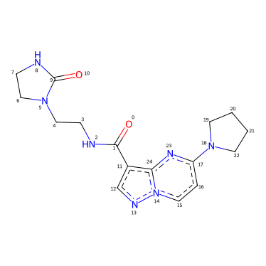 O=C(NCCN1CCNC1=O)c1cnn2ccc(N3CCCC3)nc12